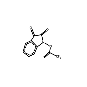 C=C(ON1C(=O)C(=O)c2ccccc21)C(F)(F)F